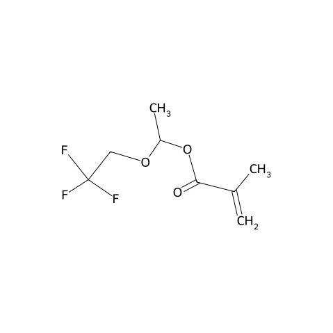 C=C(C)C(=O)OC(C)OCC(F)(F)F